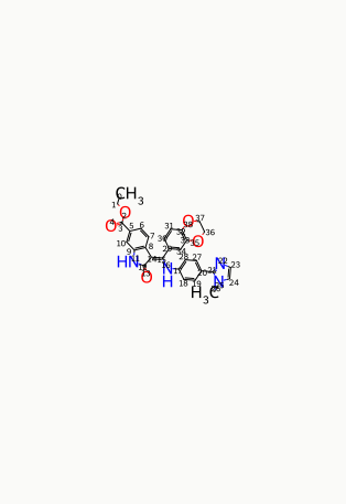 CCOC(=O)c1ccc2c(c1)NC(=O)/C2=C(\Nc1ccc(-c2nccn2C)cc1)c1ccc2c(c1)OCCO2